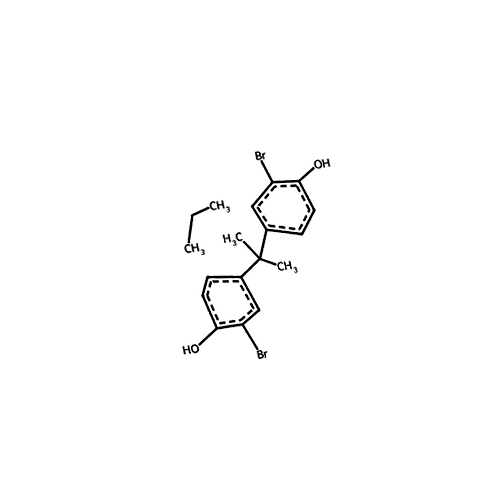 CC(C)(c1ccc(O)c(Br)c1)c1ccc(O)c(Br)c1.CCC